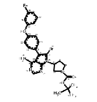 CC(C)(C)OC(=O)N1CCC(n2c(Br)c(-c3ccc(Oc4cccc(F)c4)cc3)c3c(N)ncnc32)C1